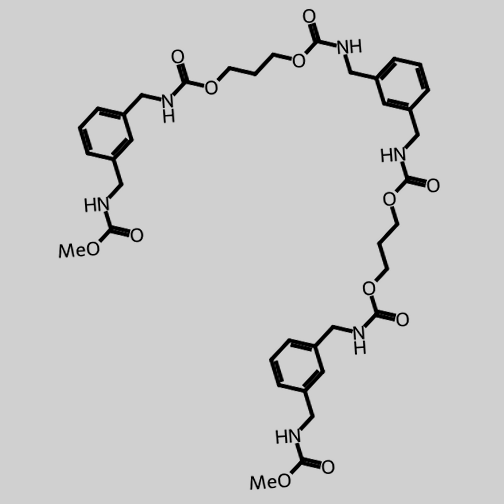 COC(=O)NCc1cccc(CNC(=O)OCCCOC(=O)NCc2cccc(CNC(=O)OCCCOC(=O)NCc3cccc(CNC(=O)OC)c3)c2)c1